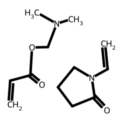 C=CC(=O)OCN(C)C.C=CN1CCCC1=O